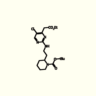 CCOC(=O)Cc1nc(NCCC2CCCCN2C(=O)OC(C)(C)C)ncc1Cl